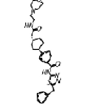 O=C(C[C@H]1CC[C@H](c2ccc(C(=O)Nc3nnc(Cc4ccccc4)s3)cc2)CC1)NCCN1CCOCC1